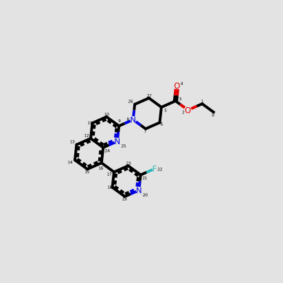 CCOC(=O)C1CCN(c2ccc3cccc(-c4ccnc(F)c4)c3n2)CC1